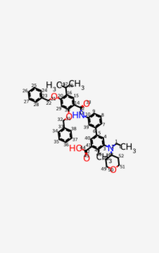 CCN(c1cc(-c2cccc(NC(=O)c3cc(C(C)C)c(OCc4ccccc4)cc3OCc3ccccc3)c2)cc(C(=O)O)c1C)C1CCOCC1